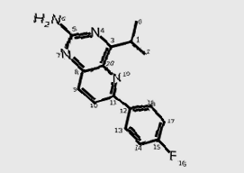 CC(C)c1nc(N)nc2ccc(-c3ccc(F)cc3)nc12